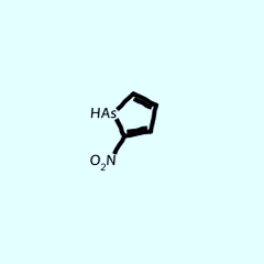 O=[N+]([O-])C1=CC=C[AsH]1